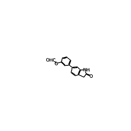 O=COc1cccc(-c2ccc3c(c2)NC(=O)C3)c1